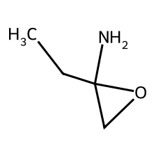 CCC1(N)CO1